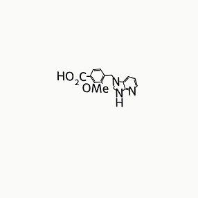 COc1cc(C(=O)O)ccc1CN1CNc2ncccc21